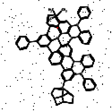 CC(C)(C)c1cc2c3c(c1)N(c1c(-c4ccccc4)cc(-c4ccccc4)cc1-c1ccccc1)c1cc4c(cc1B3c1ccccc1N2c1ccccc1)B1c2ccccc2N(c2ccccc2)c2cc(N3C5CC6CC7CC3CC67C5)cc(c21)S4